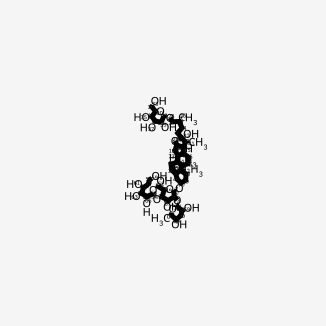 CC1O[C@@H](OC2[C@H](O[C@H]3CC[C@@]4(C)C(=CC[C@H]5[C@@H]6CC7OC(O)(CC[C@@H](C)CO[C@@H]8OC(CO)[C@@H](O)[C@H](O)C8O)[C@@H](C)[C@@H]7[C@@]6(C)CC[C@@H]54)C3)OC(CO)[C@@H](O[C@@H]3OC(CO)[C@@H](O)[C@H](O)C3O)[C@@H]2O)C(O)C[C@H]1O